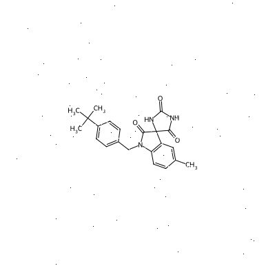 Cc1ccc2c(c1)C1(NC(=O)NC1=O)C(=O)N2Cc1ccc(C(C)(C)C)cc1